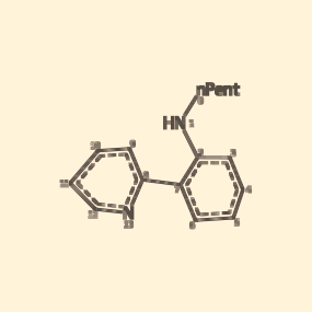 CCCCCNc1ccccc1-c1ccccn1